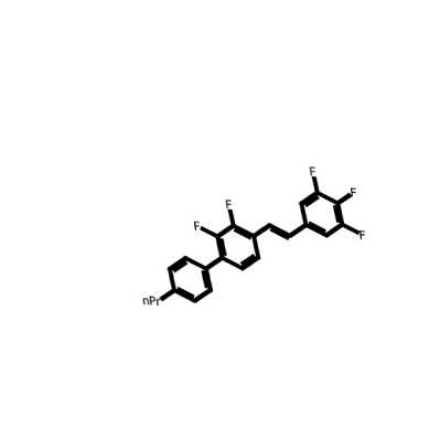 CCCc1ccc(-c2ccc(C=Cc3cc(F)c(F)c(F)c3)c(F)c2F)cc1